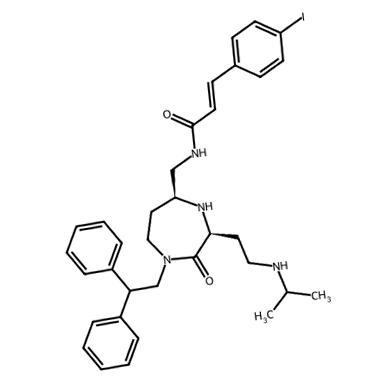 CC(C)NCC[C@@H]1N[C@H](CNC(=O)/C=C/c2ccc(I)cc2)CCN(CC(c2ccccc2)c2ccccc2)C1=O